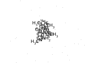 CC[C@@H](NC(=O)N1C(=O)[C@H](Cc2cc(C)nc(N)c2)[C@H]1C(=O)N(C)c1ccn(C)n1)c1cc(C)ccc1F